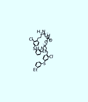 CCc1cccc(Sc2ccc(CCC[C@@](C)(N)CO[PH](=O)OC[C@](C)(N)CCCc3ccc(Sc4cccc(CC)c4)cc3Cl)c(Cl)c2)c1